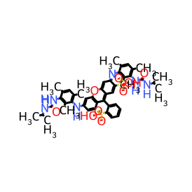 Cc1cc(C)c(NC(=O)NC(C)C)c(C)c1/N=c1/cc2oc3cc(Nc4c(C)cc(C)c(NC(=O)NC(C)C)c4C)ccc3c(-c3ccccc3S(=O)(=O)O)c-2cc1S(=O)(=O)O